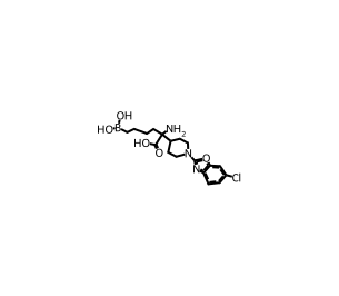 NC(CCCCB(O)O)(C(=O)O)C1CCN(c2nc3ccc(Cl)cc3o2)CC1